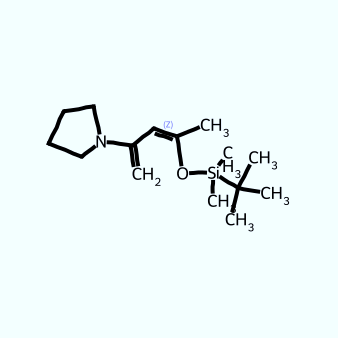 C=C(/C=C(/C)O[Si](C)(C)C(C)(C)C)N1CCCC1